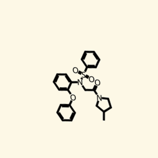 CC1CCN(C(=O)CN(c2ccccc2Oc2ccccc2)S(=O)(=O)c2ccccc2)C1